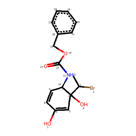 CC(Br)C1(O)C=C(O)C=CC1NC(=O)OCc1ccccc1